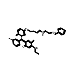 CCNC1=CC(=O)/C(=C(\C2=C[C@H](C)CC=C2)[C@H]2C=C(OCCCCNCCNCc3ccccc3)C=CC2C)C=C1C